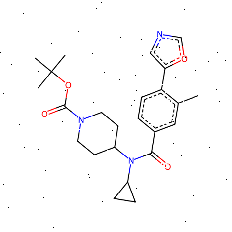 Cc1cc(C(=O)N(C2CC2)C2CCN(C(=O)OC(C)(C)C)CC2)ccc1-c1cnco1